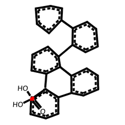 O=P(O)(O)Oc1cccc(-c2ccccc2-c2ccccc2)c1-c1ccccc1-c1ccccc1